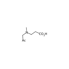 CC(=O)CN(C)CCC(=O)O